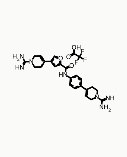 N=C(N)N1CC=C(c2ccc(NC(=O)c3cc(C4=CCN(C(=N)N)CC4)co3)cc2)CC1.O=C(O)C(F)(F)F